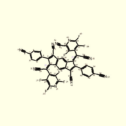 N#CC1=C(c2ccc(C#N)cc2)/C(=C(\C#N)c2c(F)c(F)nc(F)c2F)c2cc3c(cc21)/C(=C(/C#N)c1c(F)c(F)nc(C#N)c1F)C(c1ccc(C#N)cc1)=C3C#N